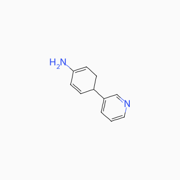 NC1=CCC(c2cccnc2)C=C1